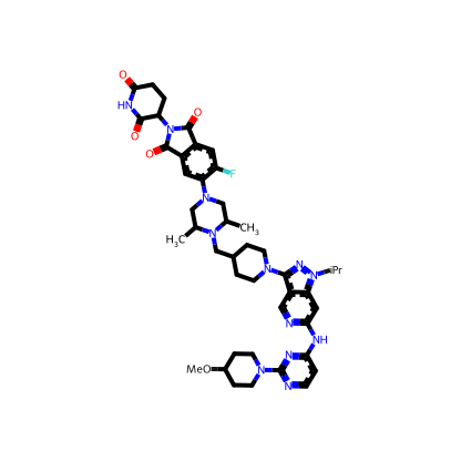 COC1CCN(c2nccc(Nc3cc4c(cn3)c(N3CCC(CN5C(C)CN(c6cc7c(cc6F)C(=O)N(C6CCC(=O)NC6=O)C7=O)CC5C)CC3)nn4C(C)C)n2)CC1